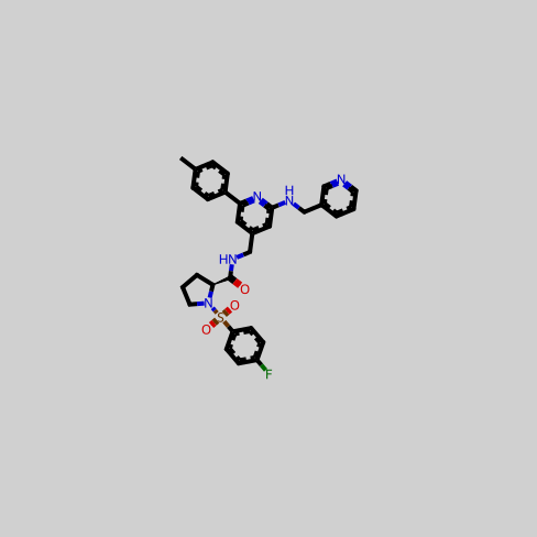 Cc1ccc(-c2cc(CNC(=O)[C@@H]3CCCN3S(=O)(=O)c3ccc(F)cc3)cc(NCc3cccnc3)n2)cc1